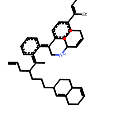 C=CCC(CCCC1C=C2CCC=CC2CC1)/C(C)=c1\cccc\c1=C(\CNC1C=CCCC1)c1ccc(/C(=C/CCCC)CC)cc1